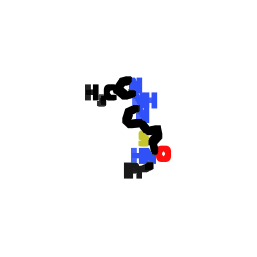 Cc1ccnc(Nc2cccc(-c3ccc(C(=O)NCC(C)C)s3)n2)c1